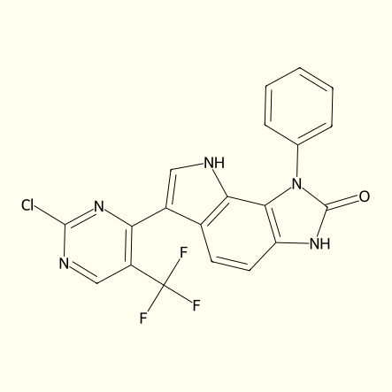 O=c1[nH]c2ccc3c(-c4nc(Cl)ncc4C(F)(F)F)c[nH]c3c2n1-c1ccccc1